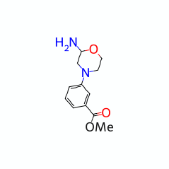 COC(=O)c1cccc(N2CCOC(N)C2)c1